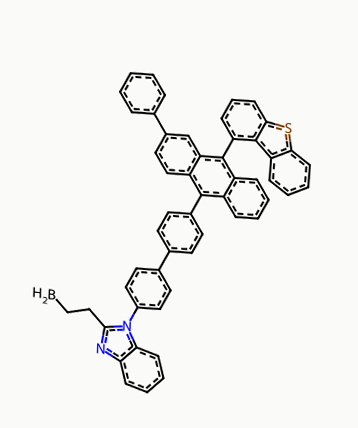 BCCc1nc2ccccc2n1-c1ccc(-c2ccc(-c3c4ccccc4c(-c4cccc5sc6ccccc6c45)c4cc(-c5ccccc5)ccc34)cc2)cc1